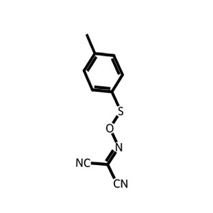 Cc1ccc(SON=C(C#N)C#N)cc1